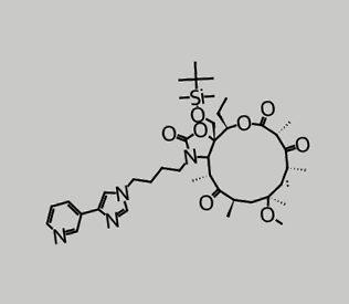 CC[C@H]1OC(=O)[C@H](C)C(=O)[C@H](C)[C][C@@](C)(OC)C[C@@H](C)C(=O)[C@H](C)C2N(CCCCn3cnc(-c4cccnc4)c3)C(=O)O[C@@]21CO[Si](C)(C)C(C)(C)C